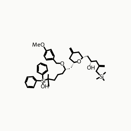 C=C1C[C@H](C[C@@H](O)CC(=C)C[Si](C)(C)C)O[C@H](C[C@H](CCCC(C)(C)[Si](O)(c2ccccc2)c2ccccc2)OCc2ccc(OC)cc2)C1